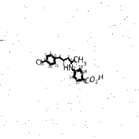 CC(CCCc1ccc(Cl)cc1)Nc1ccc(C(=O)O)cc1